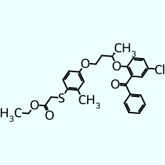 CCOC(=O)CSc1ccc(OCC[C@@H](C)Oc2ccc(Cl)cc2C(=O)c2ccccc2)cc1C